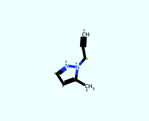 C#CCn1nc[c]c1C